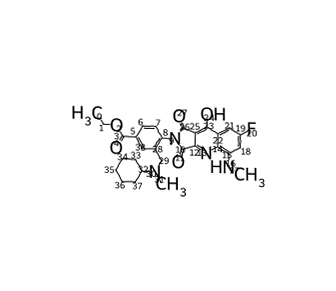 CCOC(=O)c1ccc(N2C(=O)c3nc4c(NC)cc(F)cc4c(O)c3C2=O)c(CN(C)C2CCCCC2)c1